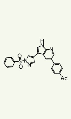 CC(=O)c1ccc(-c2cnc3[nH]cc(-c4cnn(S(=O)(=O)c5ccccc5)c4)c3c2)cc1